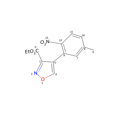 CCOC(=O)c1nocc1-c1cc(C)ccc1[N+](=O)[O-]